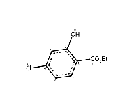 CCOC(=O)c1ccc(Cl)cc1O